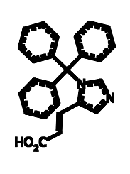 O=C(O)/C=C/c1cncn1C(c1ccccc1)(c1ccccc1)c1ccccc1